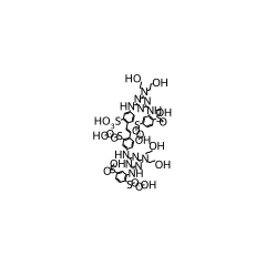 O=S(O)c1ccc(SOOO)c(Nc2nc(Nc3ccc(C=Cc4ccc(Nc5nc(Nc6cc(SOOO)ccc6S(=O)O)nc(N(CCO)CCO)n5)cc4S(=O)(=O)O)c(SOOO)c3)nc(N(CCO)CCO)n2)c1